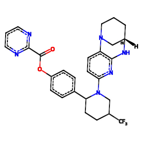 O=C(Oc1ccc(C2CCC(C(F)(F)F)CN2c2ccc3c(n2)N[C@H]2CCCN3C2)cc1)c1ncccn1